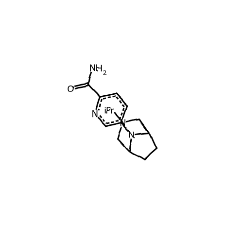 CC(C)N1CC2CCC(C1)N2c1ccc(C(N)=O)nc1